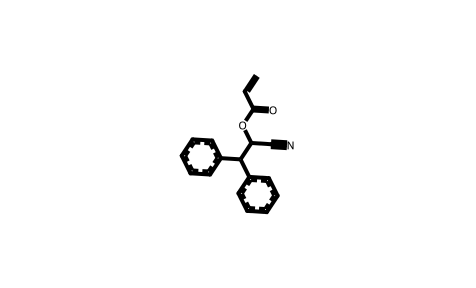 C=CC(=O)OC(C#N)C(c1ccccc1)c1ccccc1